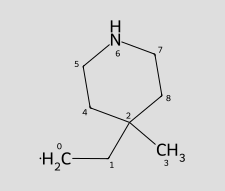 [CH2]CC1(C)CCNCC1